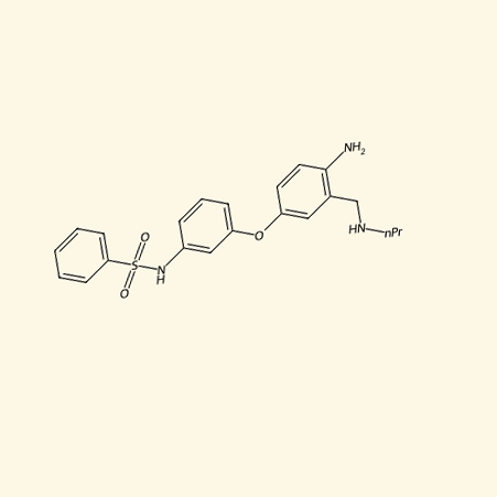 CCCNCc1cc(Oc2cccc(NS(=O)(=O)c3ccccc3)c2)ccc1N